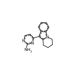 Nc1nccc(-c2c3n(c4ccccc24)CCCC3)n1